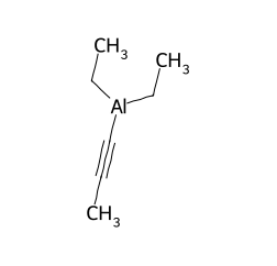 CC#[C][Al]([CH2]C)[CH2]C